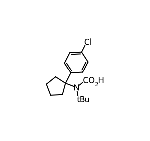 CC(C)(C)N(C(=O)O)C1(c2ccc(Cl)cc2)CCCC1